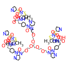 CC1(C)SCN(S(=O)(=O)c2cccnc2)[C@@H]1C(=O)N[C@@H](Cc1ccc(-n2c(=O)n(CCOCCOCC(COCCOCCn3c(=O)n(-c4ccc(C[C@H](NC(=O)[C@H]5N(S(=O)(=O)c6cccnc6)CSC5(C)C)C(=O)O)cc4)c4ncccc43)OCCOCCn3c(=O)n(-c4ccc(C[C@H](NC(=O)[C@H]5N(S(=O)(=O)c6cccnc6)CSC5(C)C)C(=O)O)cc4)c4ncccc43)c3cccnc32)cc1)C(=O)O